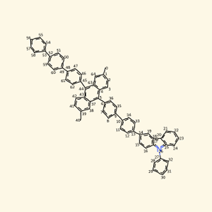 Cc1ccc2c(-c3ccc(-c4ccc(-c5ccc6c(c5)c5ccccc5n6-c5ccccc5)cc4)cc3)c3cc(C)ccc3c(-c3ccc(-c4ccc(-c5ccccc5)cc4)cc3)c2c1